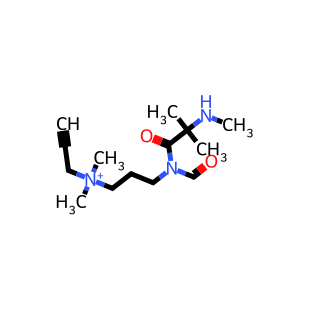 C#CC[N+](C)(C)CCCN(C=O)C(=O)C(C)(C)NC